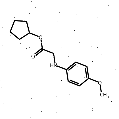 COc1ccc(NCC(=O)OC2CCCC2)cc1